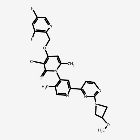 COC1CN(c2nccc(-c3cc(-n4c(C)cc(OCc5ncc(F)cc5F)c(Cl)c4=O)c(C)cn3)n2)C1